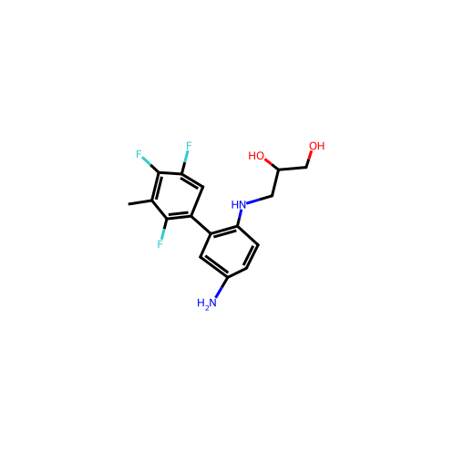 Cc1c(F)c(F)cc(-c2cc(N)ccc2NCC(O)CO)c1F